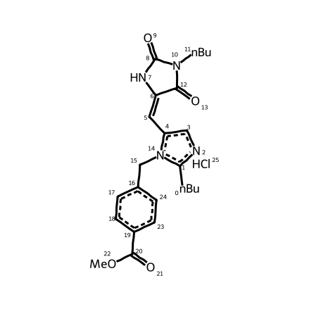 CCCCc1ncc(C=C2NC(=O)N(CCCC)C2=O)n1Cc1ccc(C(=O)OC)cc1.Cl